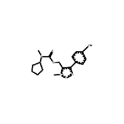 CN(C(=O)OCc1c(-c2ccc(O)cc2)nnn1C)C1CCCC1